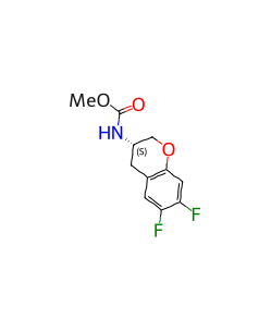 COC(=O)N[C@@H]1COc2cc(F)c(F)cc2C1